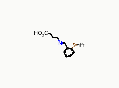 CC(C)Sc1ccccc1C=NCCCC(=O)O